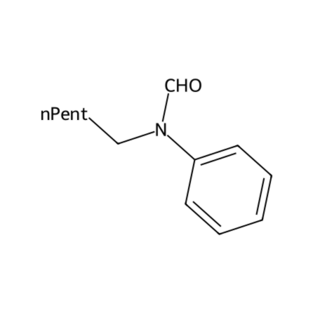 CCCCCCN(C=O)c1ccccc1